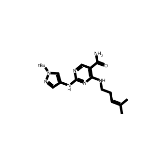 CC(C)=CCCNc1nc(Nc2cnn(C(C)(C)C)c2)ncc1C(N)=O